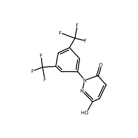 O=c1ccc(O)nn1-c1cc(C(F)(F)F)cc(C(F)(F)F)c1